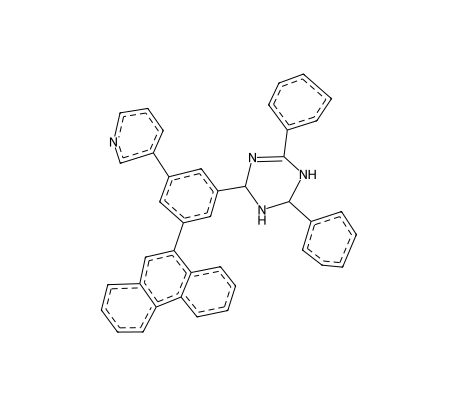 c1ccc(C2=NC(c3cc(-c4cccnc4)cc(-c4cc5ccccc5c5ccccc45)c3)NC(c3ccccc3)N2)cc1